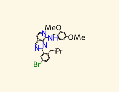 COc1ccc(CNc2nccc3cnc(-c4cc(Br)ccc4CC(C)C)nc23)c(OC)c1